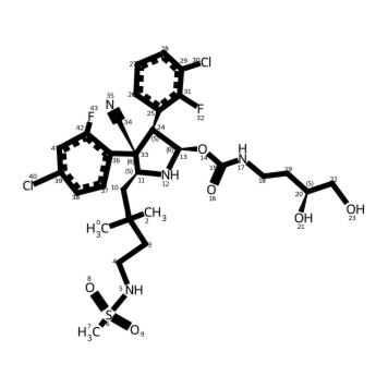 CC(C)(CCNS(C)(=O)=O)C[C@@H]1N[C@H](OC(=O)NCC[C@H](O)CO)[C@H](c2cccc(Cl)c2F)[C@@]1(C#N)c1ccc(Cl)cc1F